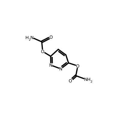 NC(=O)Oc1ccc(OC(N)=O)nn1